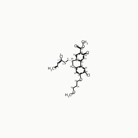 C=C/C=C(/Cl)SC[C@H]1Oc2cc(OCCCOC)c(Cl)cc2-c2cc(=O)c(C(=O)OC)cn21